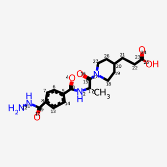 C[C@H](NC(=O)c1ccc(C(=O)NN)cc1)C(=O)N1CCC(CCC(=O)O)CC1